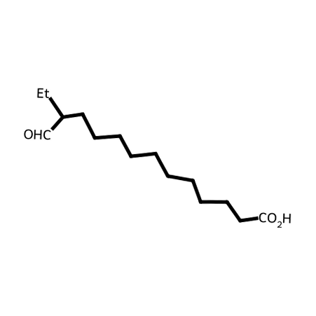 CCC(C=O)CCCCCCCCCCC(=O)O